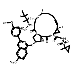 CC[C@@H]1C[C@@H](C)CCC=C[C@@H]2C[C@@]2(C(=O)NS(=O)(=O)C2(C)CC2)NC(=O)[C@@H]2C[C@@H](Oc3nc(-c4ccc(OC(C)C)cn4)cc4cc(OC)ccc34)CN2C(=O)[C@H]1N(C(=O)O)C(C)(C)C(C)(F)F